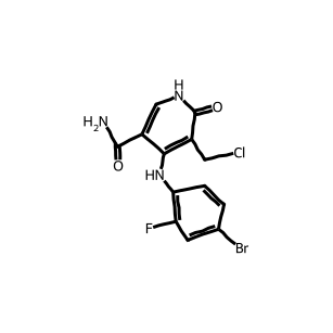 NC(=O)c1c[nH]c(=O)c(CCl)c1Nc1ccc(Br)cc1F